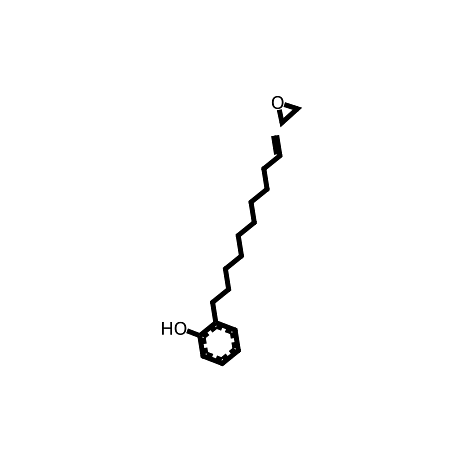 C1CO1.C=CCCCCCCCCCc1ccccc1O